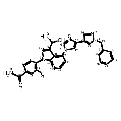 CC(C)c1nn(-c2ccc(C(N)=O)cc2Cl)c2nccc(-n3cnc(-c4cnn(Cc5ccccc5)c4)c3)c12